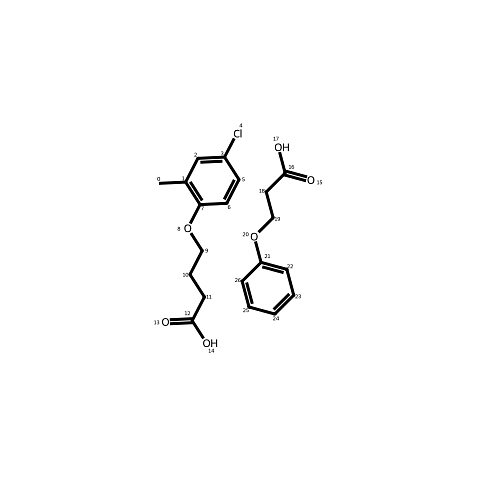 Cc1cc(Cl)ccc1OCCCC(=O)O.O=C(O)CCOc1ccccc1